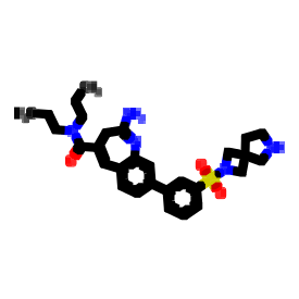 CCCN(CCC)C(=O)C1=Cc2ccc(-c3cccc(S(=O)(=O)N4CC5(CCNC5)C4)c3)cc2N=C(N)C1